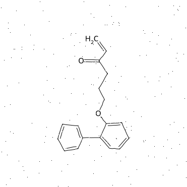 C=CC(=O)CCCOc1ccccc1-c1ccccc1